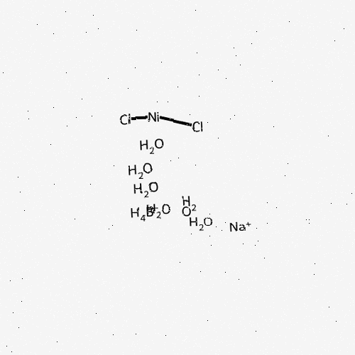 O.O.O.O.O.O.[BH4-].[Cl][Ni][Cl].[Na+]